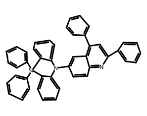 c1ccc(-c2cc(-c3ccccc3)c3cc(N4c5ccccc5[Si](c5ccccc5)(c5ccccc5)c5ccccc54)ccc3n2)cc1